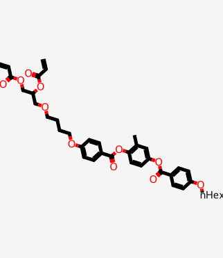 C=CC(=O)OCC(COCCCCOc1ccc(C(=O)Oc2ccc(OC(=O)c3ccc(OCCCCCC)cc3)cc2C)cc1)OC(=O)C=C